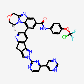 C[C@@H]1COCc2nc3cc(C(=O)Nc4ccc(OC(F)(F)Cl)cc4)cc(-c4cnc5c(c4)-c4nn(-c6nccc(-c7cncnc7)n6)cc4C5)c3n21